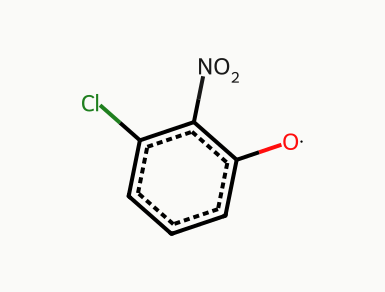 [O]c1cccc(Cl)c1[N+](=O)[O-]